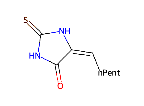 CCCCCC=C1NC(=S)NC1=O